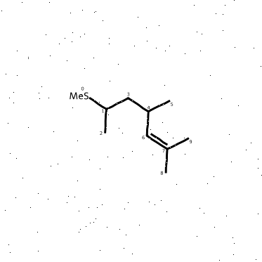 CSC(C)CC(C)C=C(C)C